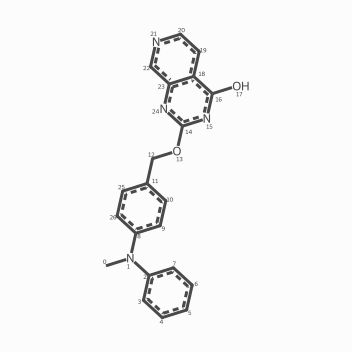 CN(c1ccccc1)c1ccc(COc2nc(O)c3ccncc3n2)cc1